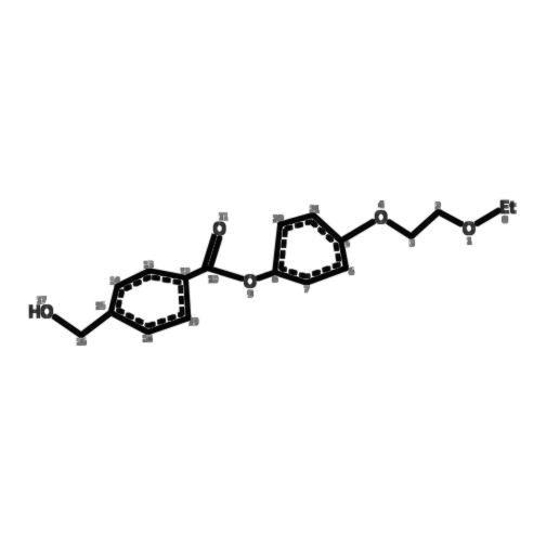 CCOCCOc1ccc(OC(=O)c2ccc(CO)cc2)cc1